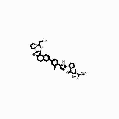 COC(=O)N[C@H](C(=O)N1CCC[C@H]1c1ncc(-c2ccc(-c3ccc4c(c3)CCc3[nH]c([C@@H]5CCCN5C(=O)CC(C)C)nc3-4)cc2F)[nH]1)C(C)C